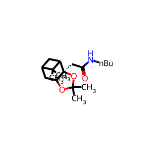 CCCCNC(=O)C[C@]12OC(C)(C)OC1CC1CC2C1(C)C